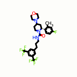 Cc1cc(F)ccc1[C@H]1CC(N2CCOCC2)CCN1C(=O)NCCCc1cc(C(F)(F)F)cc(C(F)(F)F)c1